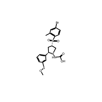 COSc1cccc([C@H]2C[C@H](S(=O)(=O)c3ccc(Br)cc3C)CN2NC(=O)O)c1